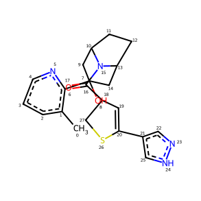 Cc1cccnc1C1(O)CC2CCC(C1)N2C(=O)C1C=C(c2cn[nH]c2)SC1